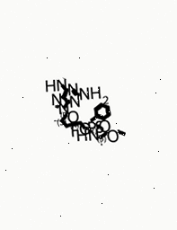 CCOC(=O)[C@H](C)N[P@](=S)(Cc1ccccc1)OC[C@]1(F)C[C@H](C)[C@H](n2cnc3c(NC)nc(N)nc32)O1